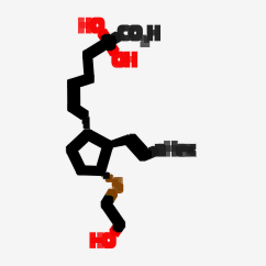 CCCCCC/C=C/[C@@H]1[C@@H](C/C=C\CCC(O)(O)C(=O)O)CC[C@H]1SCCO